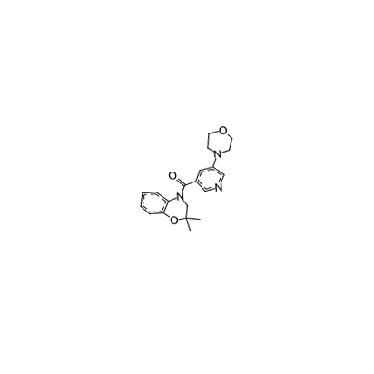 CC1(C)CN(C(=O)c2cncc(N3CCOCC3)c2)c2ccccc2O1